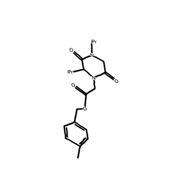 Cc1ccc(COC(=O)CN2C(=O)CN(C(C)C)C(=O)C2C(C)C)cc1